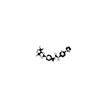 O=C(Nc1ccc(-n2cccn2)nc1)[C@@H]1CC12CCN(C(=O)OC(C(F)(F)F)C(F)(F)F)CC2